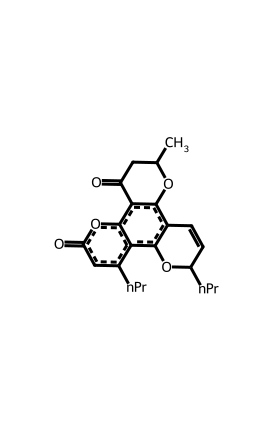 CCCc1cc(=O)oc2c3c(c4c(c12)OC(CCC)C=C4)OC(C)CC3=O